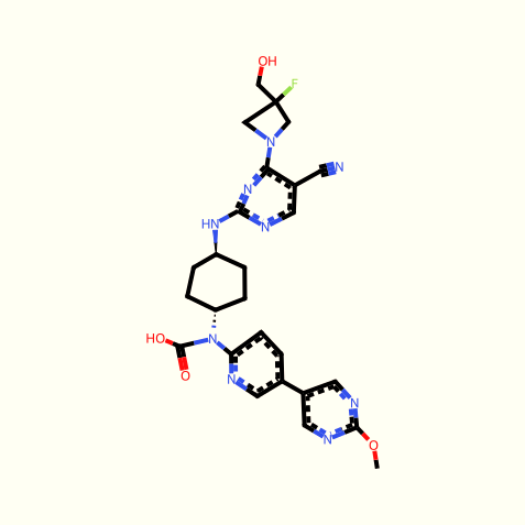 COc1ncc(-c2ccc(N(C(=O)O)[C@H]3CC[C@H](Nc4ncc(C#N)c(N5CC(F)(CO)C5)n4)CC3)nc2)cn1